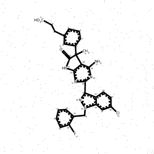 CC1(c2cccc(CCC(=O)O)c2)C(=O)Nc2nc(-c3nn(Cc4ccccc4F)c4cc(Cl)ccc34)nc(N)c21